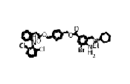 CCN(Cc1cc(C(=O)OCc2ccc(COC(=O)Cc3ccccc3Nc3c(Cl)cccc3Cl)cc2)cc(Br)c1N)C1CCCCC1